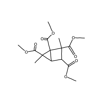 COC(=O)C1C2C(C)(C(=O)OC)C2(C(=O)OC)C1(C)C(=O)OC